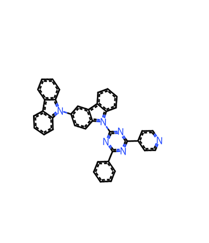 c1ccc(-c2nc(-c3ccncc3)nc(-n3c4ccccc4c4cc(-n5c6ccccc6c6ccccc65)ccc43)n2)cc1